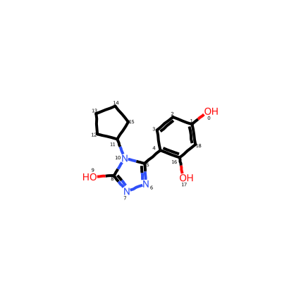 Oc1ccc(-c2nnc(O)n2C2CCCC2)c(O)c1